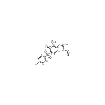 Cc1ccc(S(=O)(=O)n2ccc(CN(C)CC=O)c(O)c2=O)cc1